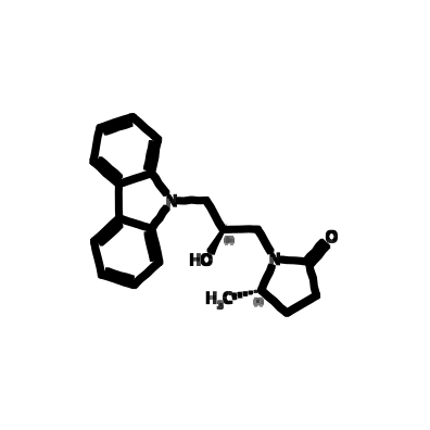 C[C@H]1CCC(=O)N1C[C@@H](O)Cn1c2ccccc2c2ccccc21